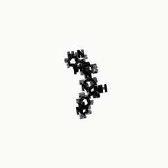 NC[C@]1(c2ccccc2F)[C@@H]2CCN(c3cnc4c(-c5ccn6nccc6c5)n[nH]c4n3)C[C@@H]21